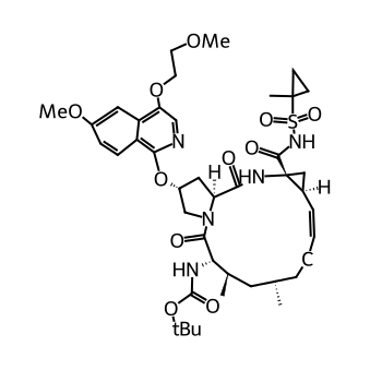 COCCOc1cnc(O[C@@H]2C[C@H]3C(=O)N[C@]4(C(=O)NS(=O)(=O)C5(C)CC5)C[C@H]4/C=C\CC[C@H](C)C[C@@H](C)[C@H](NC(=O)OC(C)(C)C)C(=O)N3C2)c2ccc(OC)cc12